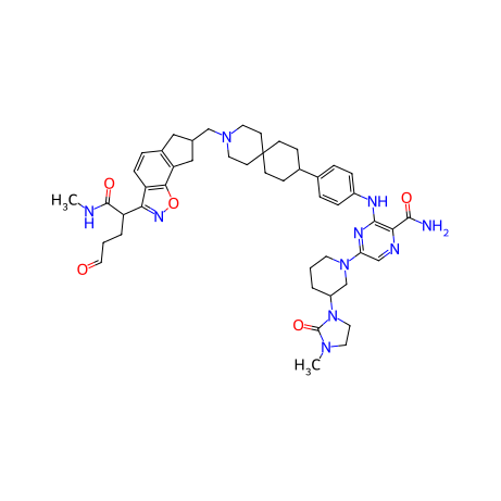 CNC(=O)C(CCC=O)c1noc2c3c(ccc12)CC(CN1CCC2(CCC(c4ccc(Nc5nc(N6CCCC(N7CCN(C)C7=O)C6)cnc5C(N)=O)cc4)CC2)CC1)C3